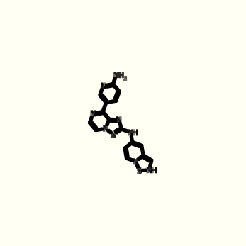 Nc1ccc(-c2nccn3nc(NC4=CC5=CNSN5C=C4)nc23)cn1